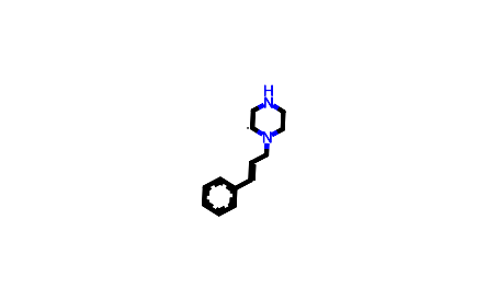 [CH]1CNCCN1CC=Cc1ccccc1